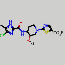 CCOC(=O)c1cnc(N2CCC(NC(=O)c3nc(Cl)c(C)[nH]3)C(OCC)C2)s1